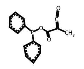 CC(=C=O)C(=O)OP(c1ccccc1)c1ccccc1